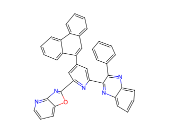 c1ccc(-c2nc3ccccc3nc2-c2cc(-c3cc4ccccc4c4ccccc34)cc(-c3nc4ncccc4o3)n2)cc1